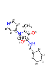 CC(C(=O)C(=O)NCC1CCCCC1)N(C=O)c1ccncc1